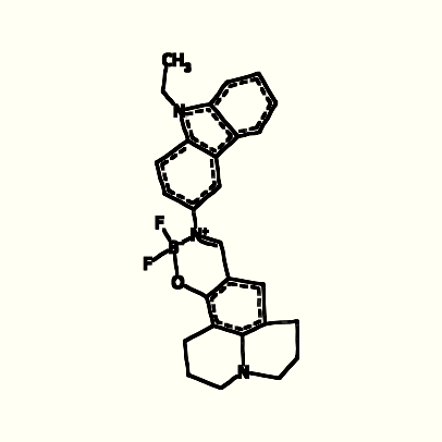 CCn1c2ccccc2c2cc([N+]3=Cc4cc5c6c(c4O[B-]3(F)F)CCCN6CCC5)ccc21